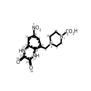 O=C(O)N1CCN(Cc2cc([N+](=O)[O-])cc3[nH]c(=O)c(=O)[nH]c23)CC1